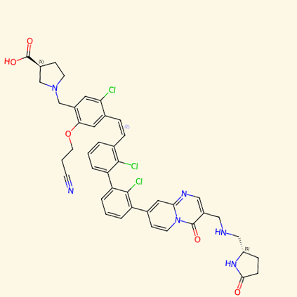 N#CCCOc1cc(/C=C\c2cccc(-c3cccc(-c4ccn5c(=O)c(CNC[C@@H]6CCC(=O)N6)cnc5c4)c3Cl)c2Cl)c(Cl)cc1CN1CC[C@H](C(=O)O)C1